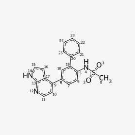 CS(=O)(=O)Nc1ccc(-c2ccnc3[nH]ccc23)cc1-c1ccccc1